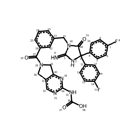 N=C1NC(c2ccc(F)cc2)(c2ccc(F)cc2)C(=O)N1Cc1cccc(C(=O)N2Cc3cnc(NC(=O)O)nc3C2)c1